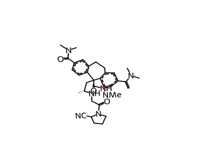 C=C(c1ccc2c(c1)CCc1cc(C(=O)N(C)C)ccc1C2(C[C@@H](C)NCC(=O)N1CCCC1C#N)C(=O)NNC)N(C)C